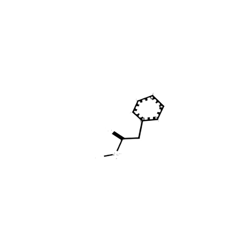 O=C(Cc1ccccc1)[NH][Y]